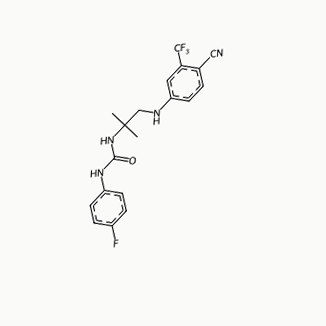 CC(C)(CNc1ccc(C#N)c(C(F)(F)F)c1)NC(=O)Nc1ccc(F)cc1